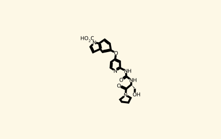 O=C(Nc1cc(Oc2ccc3c(ccn3C(=O)O)c2)ccn1)N[C@H](CO)C(=O)N1CCCC1